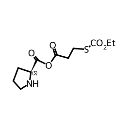 CCOC(=O)SCCC(=O)OC(=O)[C@@H]1CCCN1